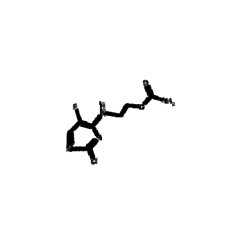 NC(=O)OCCNc1nc(Cl)ncc1F